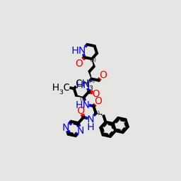 CC(C)C[C@H](NC(=O)[C@H](Cc1cccc2ccccc12)NC(=O)c1cnccn1)C(=O)N[C@H](C=O)CC[C@@H]1CCCNC1=O